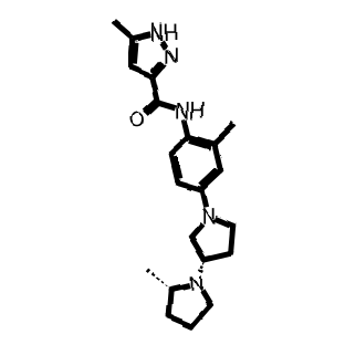 Cc1cc(C(=O)Nc2ccc(N3CC[C@H](N4CCC[C@@H]4C)C3)cc2C)n[nH]1